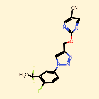 CC(F)(F)c1cc(-n2cc(COc3ncc(C#N)cn3)nn2)ccc1F